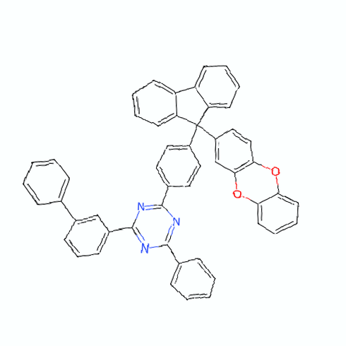 c1ccc(-c2cccc(-c3nc(-c4ccccc4)nc(-c4ccc(C5(c6ccc7c(c6)Oc6ccccc6O7)c6ccccc6-c6ccccc65)cc4)n3)c2)cc1